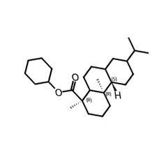 CC(C)C1CC[C@H]2C(CCC3[C@](C)(C(=O)OC4CCCCC4)CCC[C@@]32C)C1